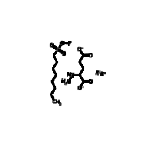 CCCCCCCCS(=O)(=O)OF.NNC(CCC(=O)[O-])C(=O)[O-].[K+].[K+]